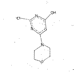 Oc1cc(N2CCOCC2)nc(Cl)n1